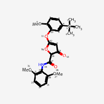 COc1ccc([Si](C)(C)C)cc1OC1=CC(=O)C(C(=O)Nc2c(OC)cccc2OC)O1